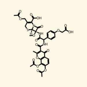 CO[C@@]1(NC(=O)C(NC(=O)c2c(C)oc3c(OC(C)=O)c(OC(C)=O)ccc3c2=O)c2ccc(OCC(=O)O)cc2)C(=O)N2C(C(=O)O)=C(COC(C)=O)CS[C@H]21